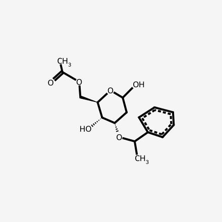 CC(=O)OC[C@H]1OC(O)C[C@H](OC(C)c2ccccc2)[C@@H]1O